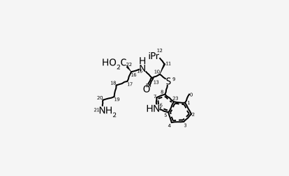 Cc1cccc2[nH]cc(S[C@H](CC(C)C)C(=O)N[C@@H](CCCCN)C(=O)O)c12